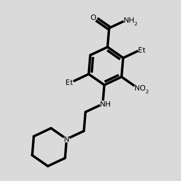 CCc1cc(C(N)=O)c(CC)c([N+](=O)[O-])c1NCCN1CCCCC1